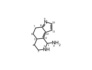 NC1NCCC2CCC3=NC=CC3=C21